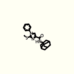 CSc1nc(C(=O)NC23CC4CC(CC(C4)C2)C3)cn1-c1ccccc1